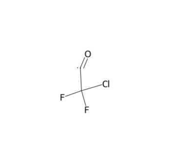 O=[C]C(F)(F)Cl